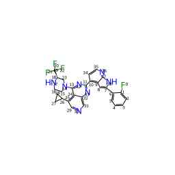 Fc1ccccc1-c1cc2c(-c3nc(N4CCN[C@@H](C(F)(F)F)C4)c4c(C5CC5)cncc4n3)ccnc2[nH]1